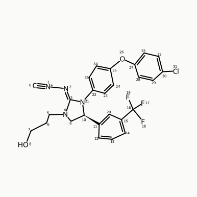 [C-]#[N+]/N=C1\N(CCCO)C[C@H](c2cccc(C(F)(F)F)c2)N1c1ccc(Oc2ccc(Cl)cc2)cc1